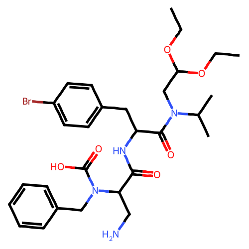 CCOC(CN(C(=O)C(Cc1ccc(Br)cc1)NC(=O)C(CN)N(Cc1ccccc1)C(=O)O)C(C)C)OCC